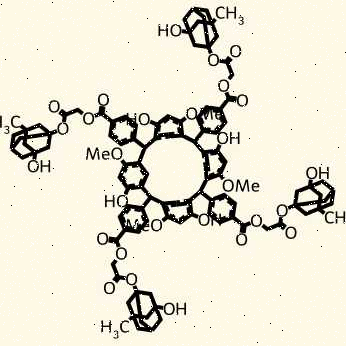 COc1cc(O)c2cc1C(c1ccc(C(=O)OCC(=O)OC34CC5CC(C)(CC(O)(C5)C3)C4)cc1)c1cc(c(OC)cc1O)C(c1ccc(C(=O)OCC(=O)OC34CC5CC(C)(CC(O)(C5)C3)C4)cc1)c1cc(c(OC)cc1O)C(c1ccc(C(=O)OCC(=O)OC34CC5CC(C)(CC(O)(C5)C3)C4)cc1)c1cc(c(OC)cc1O)C2c1ccc(C(=O)OCC(=O)OC23CC4CC(C)(CC(O)(C4)C2)C3)cc1